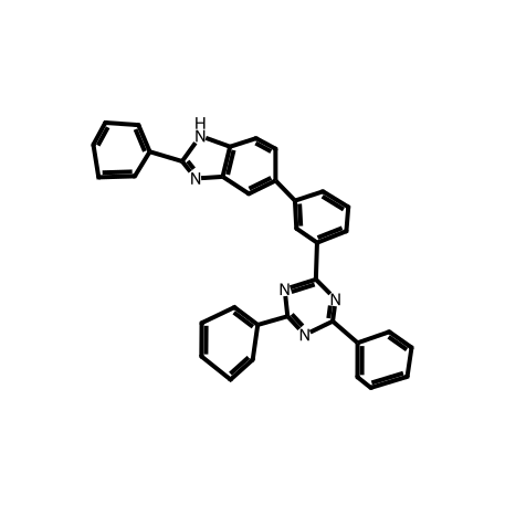 c1ccc(-c2nc(-c3ccccc3)nc(-c3cccc(-c4ccc5[nH]c(-c6ccccc6)nc5c4)c3)n2)cc1